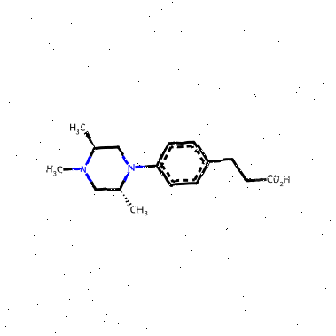 C[C@@H]1CN(C)[C@@H](C)CN1c1ccc(CCC(=O)O)cc1